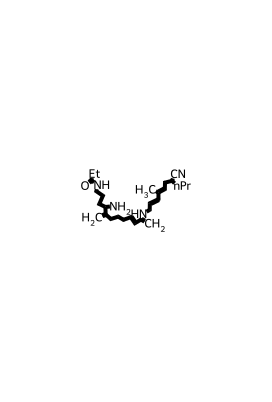 C=C(/C=C/CCCC(=C)C(N)CCCNC(=O)CC)NC/C=C/C(C)=C/CC(C#N)CCC